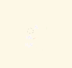 Cc1ccc(N(CCCl)CCCl)cc1NC(=O)C(N)CC(=O)O